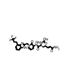 NC(=O)/C=C/CC[C@H](NC(=O)O)C(=O)Nc1cccn(Cc2nc3c(CCC(F)(F)F)cccc3[nH]2)c1=O